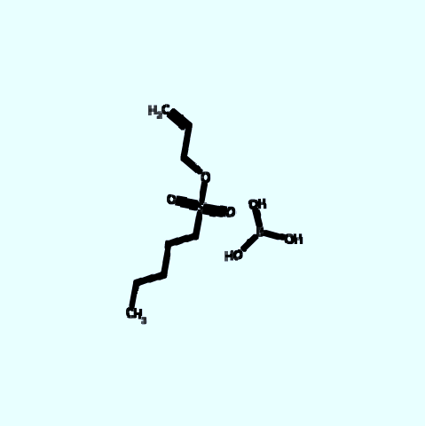 C=CCOS(=O)(=O)CCCCC.OB(O)O